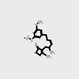 COc1cc(CC/C=C\C(C)CC2=C(C)CCC2=O)cc(OC)c1